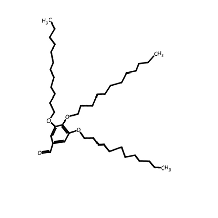 CCCCCCCCCCCCOc1cc(C=O)cc(OCCCCCCCCCCCC)c1OCCCCCCCCCCCC